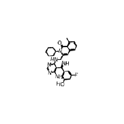 Cc1cccc2cc(CNc3ncnc(N)c3C(=N)c3cc(O)cc(F)c3)n(C3CCCCC3)c(=O)c12